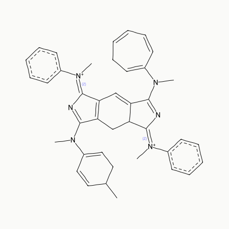 CC1C=CC(N(C)C2=N/C(=[N+](/C)c3ccccc3)C3=C2CC2C(=C3)C(N(C)C3=CCC=CC=C3)=N/C2=[N+](/C)c2ccccc2)=CC1